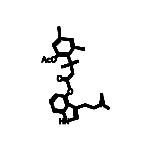 CC(=O)Oc1cc(C)cc(C)c1C(C)(C)CC(=O)Oc1cccc2[nH]cc(CCN(C)C)c12